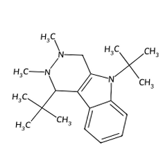 CN1Cc2c(c3ccccc3n2C(C)(C)C)C(C(C)(C)C)N1C